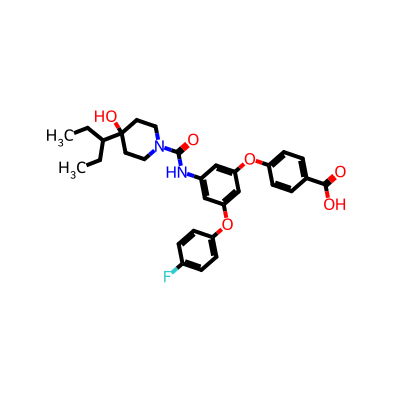 CCC(CC)C1(O)CCN(C(=O)Nc2cc(Oc3ccc(F)cc3)cc(Oc3ccc(C(=O)O)cc3)c2)CC1